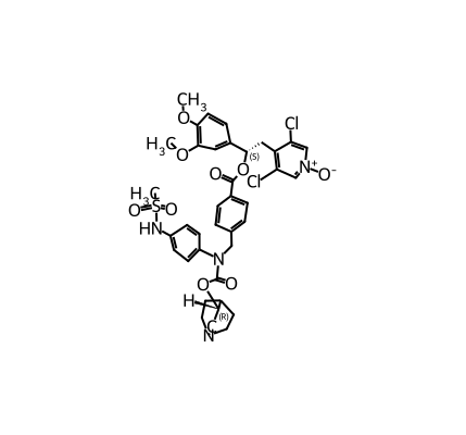 COc1ccc([C@H](Cc2c(Cl)c[n+]([O-])cc2Cl)OC(=O)c2ccc(CN(C(=O)O[C@H]3CN4CCC3CC4)c3ccc(NS(C)(=O)=O)cc3)cc2)cc1OC